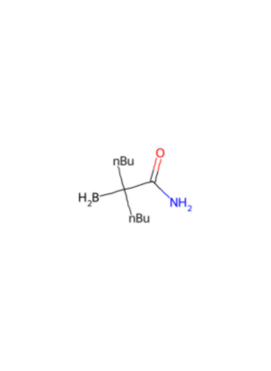 BC(CCCC)(CCCC)C(N)=O